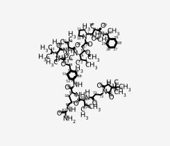 CC[C@H](C)[C@@H]([C@@H](CC(=O)N1CCC[C@H]1[C@H](OC)[C@@H](C)C(=O)N[C@H](C)c1ccccc1)OC)N(C)C(=O)[C@@H](NC(=O)[C@H](C(C)C)N(C)C(=O)OCc1ccc(NC(=O)[C@H](CCCNC(N)=O)NC(=O)[C@@H](NC(=O)CCN2C(=O)CC(C(C)(C)C)C2=O)C(C)C)cc1)C(C)C